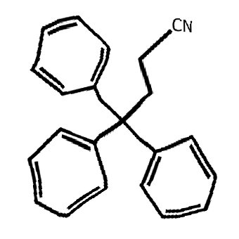 N#CCCC(c1ccccc1)(c1ccccc1)c1ccccc1